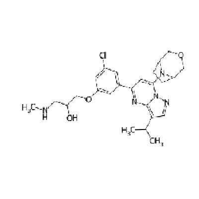 CNCC(O)COc1cc(Cl)cc(-c2cc(N3C4CCC3COC4)n3ncc(C(C)C)c3n2)c1